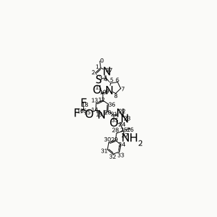 Cc1csc([C@H]2CCCN2C(=O)c2cc(OC(F)F)nc(-c3nnc([C@](C)(N)Cc4ccccc4)o3)c2)n1